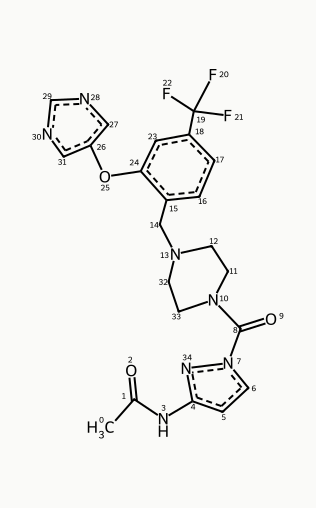 CC(=O)Nc1ccn(C(=O)N2CCN(Cc3ccc(C(F)(F)F)cc3Oc3cncnc3)CC2)n1